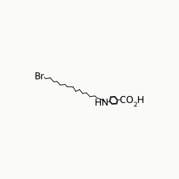 O=C(O)c1ccc(NCCCCCCCCCCCCCCCCBr)cc1